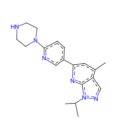 Cc1cc(-c2ccc(N3CCNCC3)nc2)nc2c1cnn2C(C)C